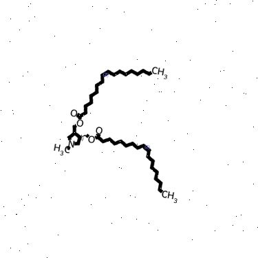 CCCCCCCC/C=C\CCCCCCCC(=O)OCC1CN(C)C[C@H]1COC(=O)CCCCCCC/C=C\CCCCCCCC